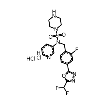 Cl.Cl.O=S(=O)(N1CCNCC1)N(Cc1ccc(-c2nnc(C(F)F)o2)cc1F)c1cccnc1